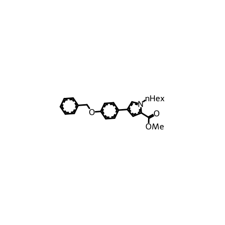 CCCCCCn1cc(-c2ccc(OCc3ccccc3)cc2)cc1C(=O)OC